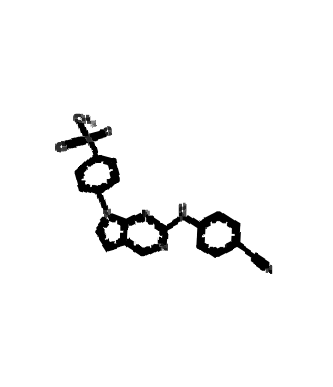 CS(=O)(=O)c1ccc(-n2ccc3cnc(Nc4ccc(C#N)cc4)nc32)cc1